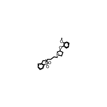 COc1ccccc1OC1CCN(CCCCN2Cc3ccccc3S2(=O)=O)C1